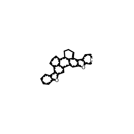 C1=c2c3c(c4cccc5c6c(cc(c3cc3oc7ccccc7c23)c45)oc2ccccc26)CC1